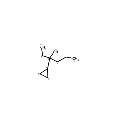 CCCC(O)(CC)C1CC1